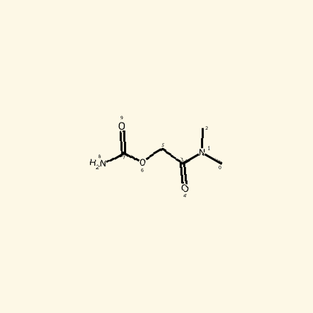 CN(C)C(=O)COC(N)=O